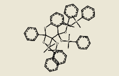 C[Si](C)(Oc1cccc2c1C(O[Si](C)(C)c1ccccc1)(O[Si](C)(C)c1ccccc1)C(O)(O[Si](C)(C)c1ccccc1)C(O[Si](C)(C)c1ccccc1)(c1ccccc1)O2)c1ccccc1